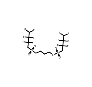 O=S(=O)(CC(F)(F)C(F)(F)C(F)F)OCCCOS(=O)(=O)CC(F)(F)C(F)(F)C(F)F